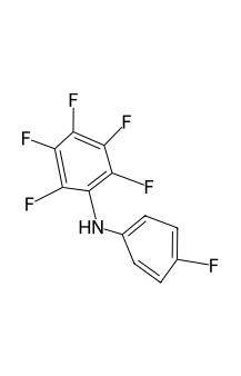 Fc1ccc(Nc2c(F)c(F)c(F)c(F)c2F)cc1